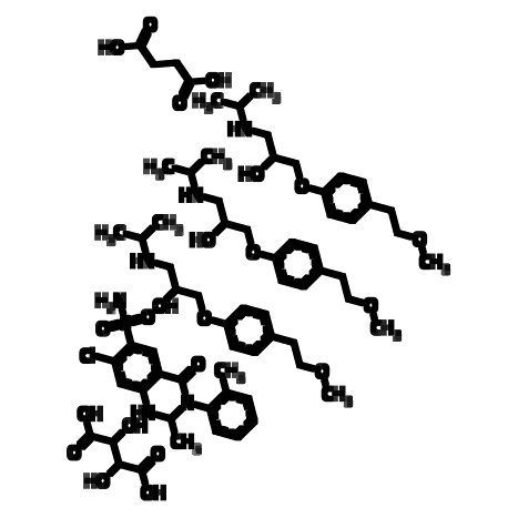 COCCc1ccc(OCC(O)CNC(C)C)cc1.COCCc1ccc(OCC(O)CNC(C)C)cc1.COCCc1ccc(OCC(O)CNC(C)C)cc1.Cc1ccccc1N1C(=O)c2cc(S(N)(=O)=O)c(Cl)cc2NC1C.O=C(O)C(O)C(O)C(=O)O.O=C(O)CCC(=O)O